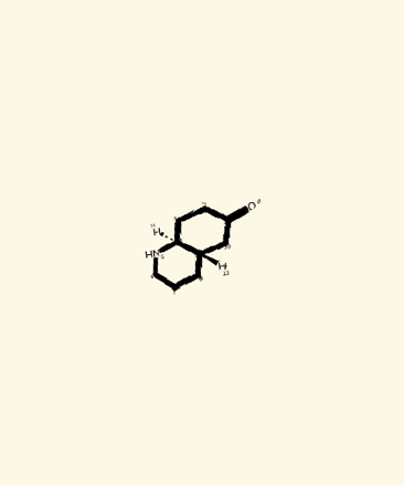 O=C1CC[C@@H]2NCCC[C@H]2C1